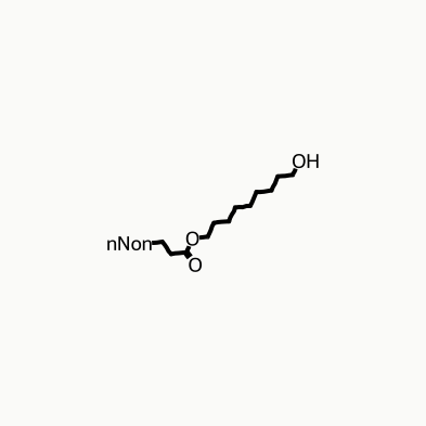 CCCCCCCCCCCC(=O)OCCCCCCCCCO